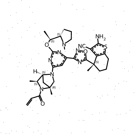 C=CC(=O)N1[C@@H](C)[C@@H]2C[C@]1(C)CN2c1cc(-c2noc([C@@]3(C)CCCc4sc(N)c(C#N)c43)n2)nc(O[C@@H](C)[C@@H]2CCCN2C)n1